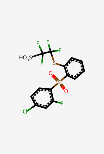 O=S(=O)(c1ccc(Cl)cc1F)c1ccccc1SC(F)(F)C(F)(F)S(=O)(=O)O